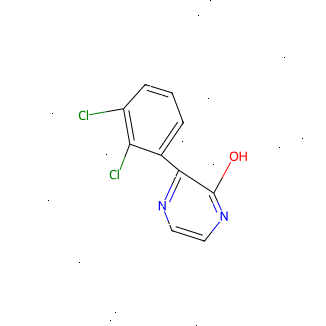 Oc1nccnc1-c1cccc(Cl)c1Cl